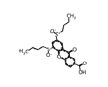 CCCC[S+]([O-])c1cc([S+]([O-])CCCC)c2oc3ccc(C(=O)O)cc3c(=O)c2c1